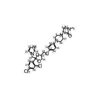 Cn1ncn(N2CCN(c3ccc(OCC4COC(Cn5ccnc5)(c5ccc(Cl)cc5Cl)O4)cc3)CC2)c1=O